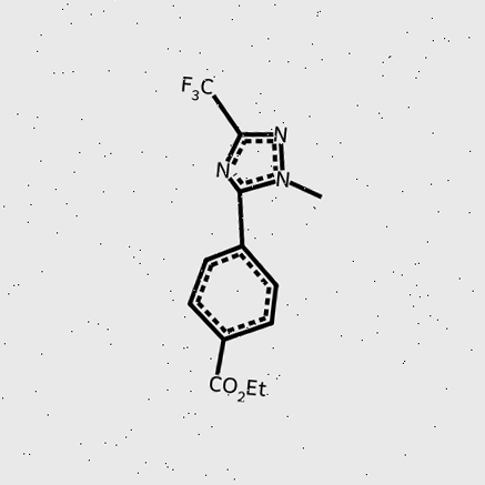 CCOC(=O)c1ccc(-c2nc(C(F)(F)F)nn2C)cc1